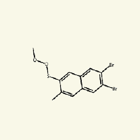 COOSc1cc2cc(Br)c(Br)cc2cc1C